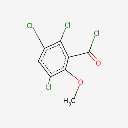 COc1c(Cl)cc(Cl)c(Cl)c1C(=O)Cl